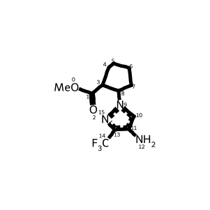 COC(=O)C1CCCCC1n1cc(N)c(C(F)(F)F)n1